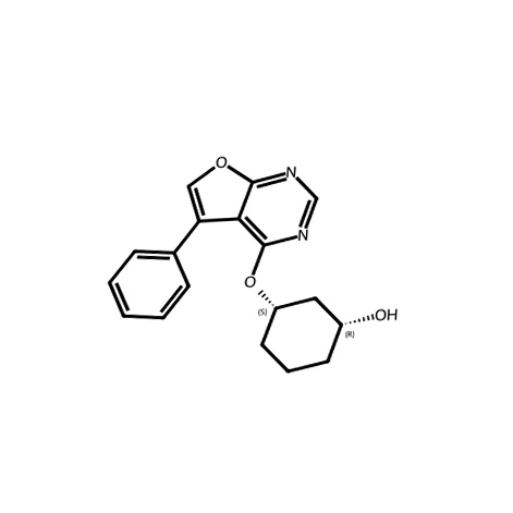 O[C@@H]1CCC[C@H](Oc2ncnc3occ(-c4ccccc4)c23)C1